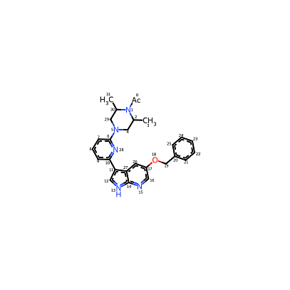 CC(=O)N1C(C)CN(c2cccc(-c3c[nH]c4ncc(OCc5ccccc5)cc34)n2)CC1C